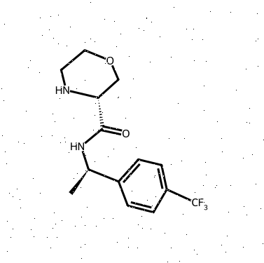 C[C@@H](NC(=O)[C@H]1COCCN1)c1ccc(C(F)(F)F)cc1